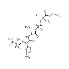 CCOC(=O)C(C)(C)COS(=O)(=O)N1C(=O)[C@@H](NC(=O)/C(=N/OC(C)(C)C(=O)O)c2csc(N)n2)[C@@H]1C